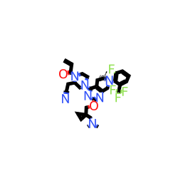 C=CC(=O)N1CCN(c2nc(OCC3(CN(C)C)CC3)nc3c2C[C@H](C)N(c2c(F)cccc2C(F)(F)F)C3)CC1CC#N